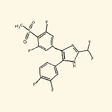 CS(=O)(=O)c1c(F)cc(-c2nc(C(F)F)[nH]c2-c2ccc(F)c(F)c2)cc1F